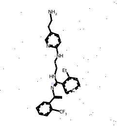 C=C(/N=C(/NCCNc1ccc(CCN)cn1)c1ccccc1CC)c1ccccc1C(F)(F)F